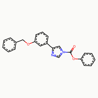 O=C(Oc1ccccc1)n1cnc(-c2cccc(OCc3ccccc3)c2)c1